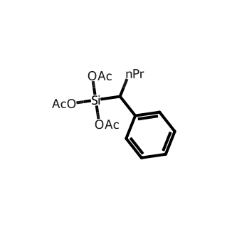 CCCC(c1ccccc1)[Si](OC(C)=O)(OC(C)=O)OC(C)=O